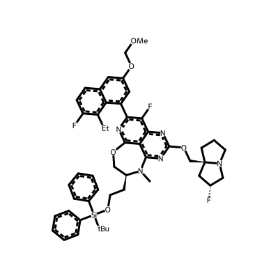 CCc1c(F)ccc2cc(OCOC)cc(-c3nc4c5c(nc(OC[C@@]67CCCN6C[C@H](F)C7)nc5c3F)N(C)[C@@H](CCO[Si](c3ccccc3)(c3ccccc3)C(C)(C)C)CO4)c12